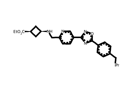 CCOC(=O)[C@H]1C[C@@H](NCc2ccc(-c3noc(-c4ccc(CC(C)C)cc4)n3)cn2)C1